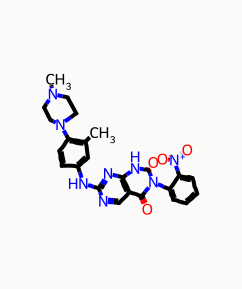 Cc1cc(Nc2ncc3c(=O)n(-c4ccccc4[N+](=O)[O-])c(=O)[nH]c3n2)ccc1N1CCN(C)CC1